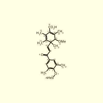 CCCCCCOc1c(C)cc(C(=O)C=CC2(C)C(C)=C(C)C(C(=O)O)=C(C)C2OC)cc1C